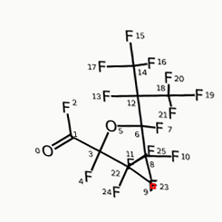 O=C(F)C(F)(OC(F)(C(F)(F)F)C(F)(C(F)(F)F)C(F)(F)F)C(F)(F)F